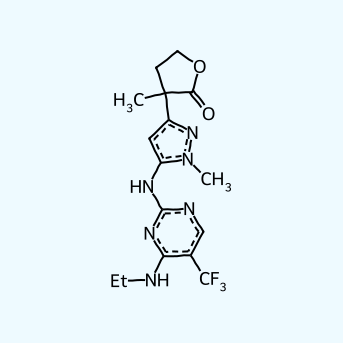 CCNc1nc(Nc2cc(C3(C)CCOC3=O)nn2C)ncc1C(F)(F)F